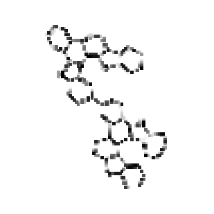 c1ccc2c(c1)nc1c3ccc(-c4ccc5nc6c7ccccc7c7ccc8c9ccccc9oc8c7n6c5c4)cc3c3ccc4oc5ccccc5c4c3n21